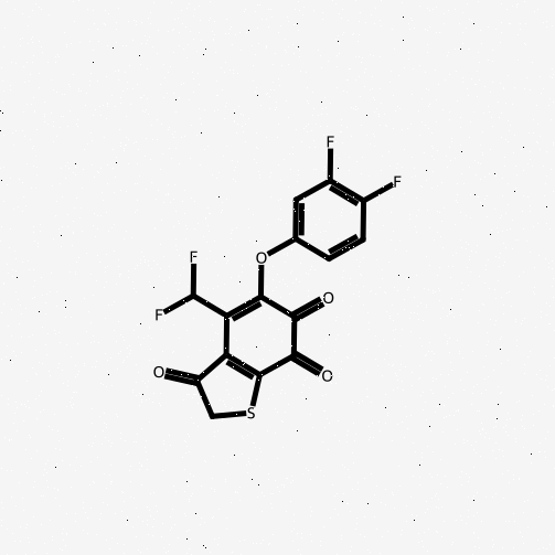 O=C1CSC2=C1C(C(F)F)=C(Oc1ccc(F)c(F)c1)C(=O)C2=O